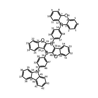 c1ccc2c(c1)Oc1ccccc1N2c1ccc(B2c3oc4ccccc4c3B(c3ccc(-n4c5ccccc5c5ccccc54)cc3)c3oc4ccccc4c32)cc1